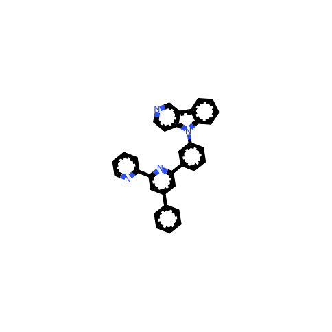 c1ccc(-c2cc(-c3cccc(-n4c5ccccc5c5cnccc54)c3)nc(-c3ccccn3)c2)cc1